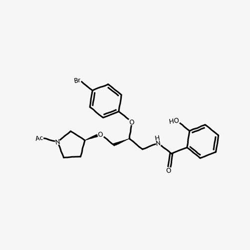 CC(=O)N1CC[C@H](OC[C@H](CNC(=O)c2ccccc2O)Oc2ccc(Br)cc2)C1